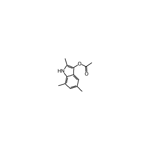 CC(=O)Oc1c(C)[nH]c2c(C)cc(C)cc12